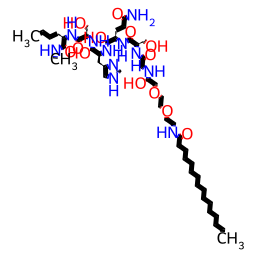 CCCCCCCCCCCCCCCC(=O)NCCOCCOC[C@@H](O)NCC(=O)N[C@@H](CO)C(=O)N[C@@H](CCC(N)=O)[C@H](O)N[C@@H](C[C@H]1CNC=N1)[C@H](O)N[C@@H](CO)C(=O)N[C@@H](CCCC)C(=O)NC